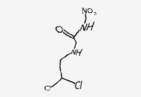 O=C(NCC(Cl)Cl)N[N+](=O)[O-]